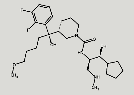 CNC[C@@H](NC(=O)N1CCC[C@@H]([C@@](O)(CCCCOC)c2cccc(F)c2F)C1)[C@@H](O)C1CCCC1